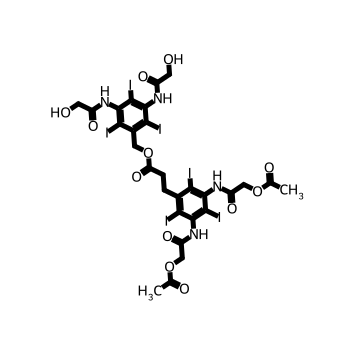 CC(=O)OCC(=O)Nc1c(I)c(CCC(=O)OCc2c(I)c(NC(=O)CO)c(I)c(NC(=O)CO)c2I)c(I)c(NC(=O)COC(C)=O)c1I